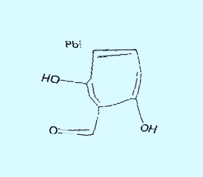 O=Cc1c(O)cccc1O.[Pb]